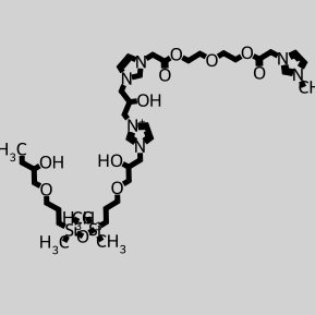 CCC(O)COCCC[Si](C)(C)O[Si](C)(C)CCCOCC(O)Cn1cc[n+](CC(O)CN2C=CN(CC(=O)OCCOCCOC(=O)C[n+]3ccn(C)c3)C2)c1